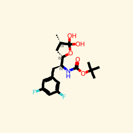 C[C@H]1C[C@@H]([C@H](Cc2cc(F)cc(F)c2)NC(=O)OC(C)(C)C)OC1(O)O